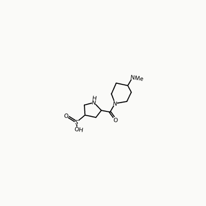 CNC1CCN(C(=O)C2CC(S(=O)O)CN2)CC1